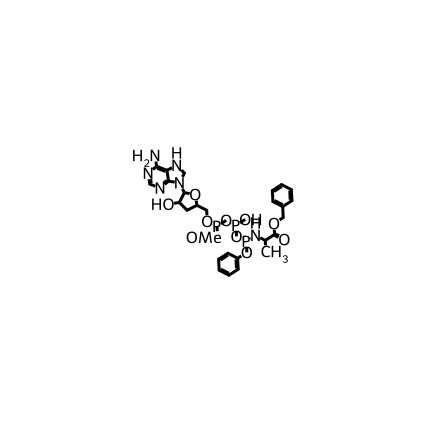 COP(OCC1CC(O)C(N2CNc3c(N)ncnc32)O1)OP(O)OP(NC(C)C(=O)OCc1ccccc1)Oc1ccccc1